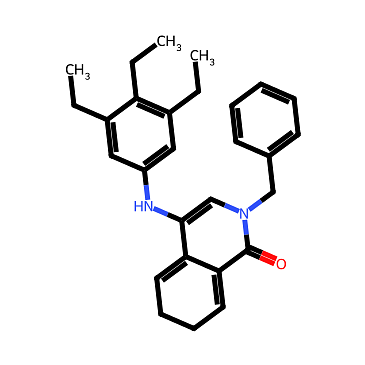 CCc1cc(Nc2cn(Cc3ccccc3)c(=O)c3c2=CCCC=3)cc(CC)c1CC